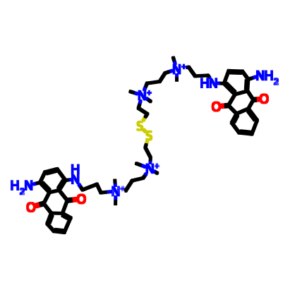 C[N+](C)(CCCNc1ccc(N)c2c1C(=O)c1ccccc1C2=O)CCC[N+](C)(C)CCSSCC[N+](C)(C)CCC[N+](C)(C)CCCNc1ccc(N)c2c1C(=O)c1ccccc1C2=O